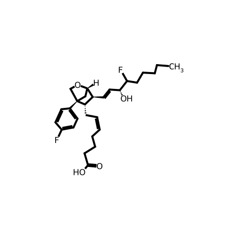 CCCCCC(F)[C@H](O)/C=C/[C@@H]1[C@@H]2C[C@@](c3ccc(F)cc3)(CO2)[C@H]1C/C=C\CCCC(=O)O